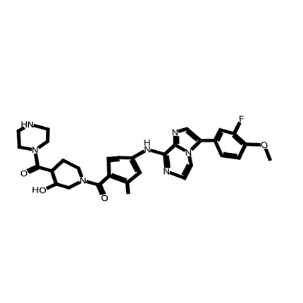 COc1ccc(-c2cnc3c(Nc4ccc(C(=O)N5CCC(C(=O)N6CCNCC6)C(O)C5)c(C)c4)nccn23)cc1F